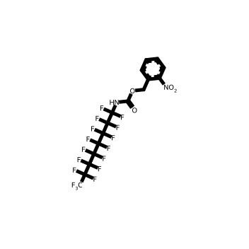 O=C(NC(F)(F)C(F)(F)C(F)(F)C(F)(F)C(F)(F)C(F)(F)C(F)(F)C(F)(F)F)OCc1ccccc1[N+](=O)[O-]